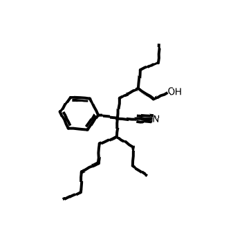 CCCCCC(CCC)C(C#N)(CC(CO)CCC)c1ccccc1